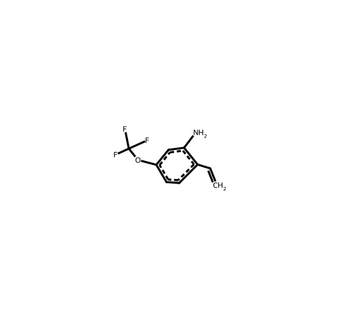 C=Cc1ccc(OC(F)(F)F)cc1N